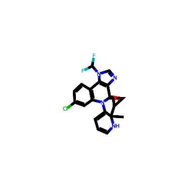 CC1(C2CC2)NC=CC=C1n1c(=O)c2ncn(C(F)F)c2c2ccc(Cl)cc21